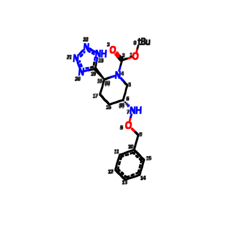 CC(C)(C)OC(=O)N1C[C@H](NOCc2ccccc2)CC[C@H]1c1nnn[nH]1